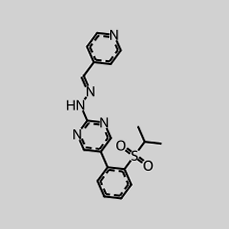 CC(C)S(=O)(=O)c1ccccc1-c1cnc(NN=Cc2ccncc2)nc1